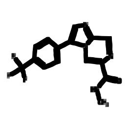 CNC(=O)c1cn2c(-c3ccc(C(F)(F)F)cc3)cnc2cn1